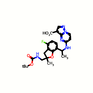 CC(Nc1ccn2ncc(C(=O)O)c2n1)c1ccc(F)c2c1OC(C)(CNC(=O)OC(C)(C)C)C2